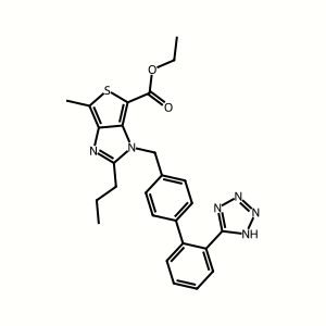 CCCc1nc2c(C)sc(C(=O)OCC)c2n1Cc1ccc(-c2ccccc2-c2nnn[nH]2)cc1